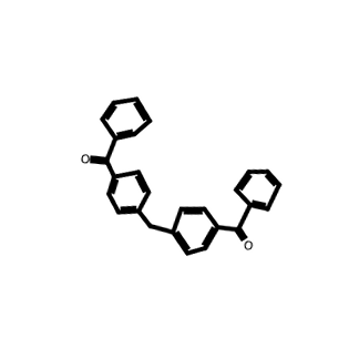 O=C(c1ccccc1)c1ccc(Cc2ccc(C(=O)c3ccccc3)cc2)cc1